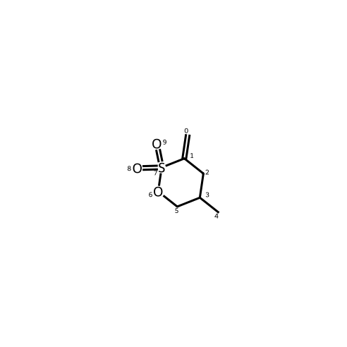 C=C1CC(C)COS1(=O)=O